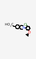 O=C(O)CC1CCC2(CC1)CCN(c1cc(OC3CC3)ccc1Cl)CC2